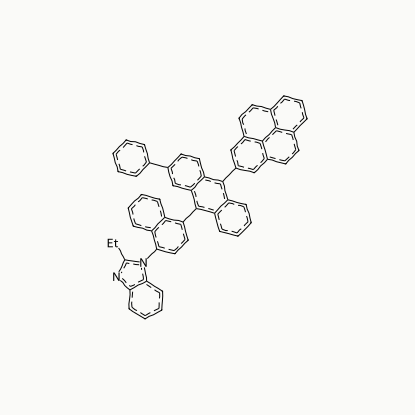 CCc1nc2ccccc2n1-c1ccc(-c2c3ccccc3c(-c3cc4ccc5cccc6ccc(c3)c4c56)c3ccc(-c4ccccc4)cc23)c2ccccc12